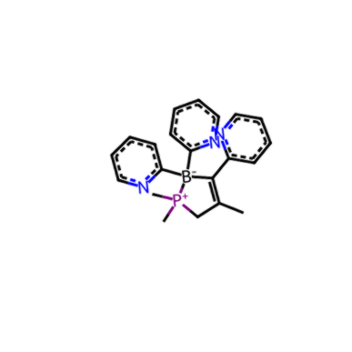 CC1=C(c2ccccn2)[B-](c2ccccn2)(c2ccccn2)[P+](C)(C)C1